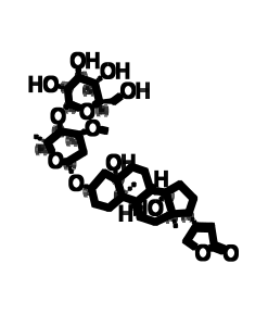 CO[C@H]1C[C@H](O[C@H]2CC[C@]3(C)[C@H]4CC[C@]5(C)[C@@H](C6=CC(=O)OC6)CC[C@]5(O)[C@@H]4CC[C@]3(O)C2)O[C@H](C)[C@H]1O[C@@H]1O[C@H](CO)[C@@H](O)[C@H](O)[C@H]1O